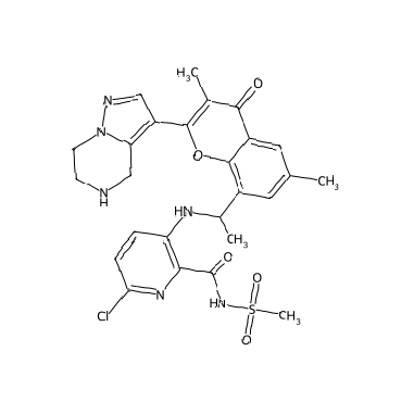 Cc1cc(C(C)Nc2ccc(Cl)nc2C(=O)NS(C)(=O)=O)c2oc(-c3cnn4c3CNCC4)c(C)c(=O)c2c1